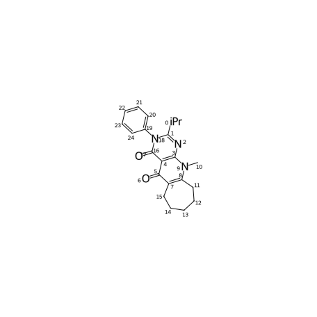 CC(C)c1nc2c(c(=O)c3c(n2C)CCCCC3)c(=O)n1-c1ccccc1